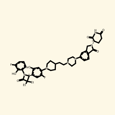 CCC1(CC)C(=O)N(c2cccc(F)c2O)[C@H]1c1cc(F)c(N2CCC(CCN3CCN(c4ccc5c(c4)CN([C@H]4CCC(=O)NC4=O)C5=O)CC3)CC2)cc1OC